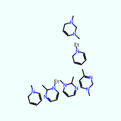 CC1=NCN(C)C=C1.CC1N=CC=CN1C.CCN1C=CC=CC1.CCN1C=CC=NC1C.CN1C=CC=CC1.CN1C=CCN(C)C1